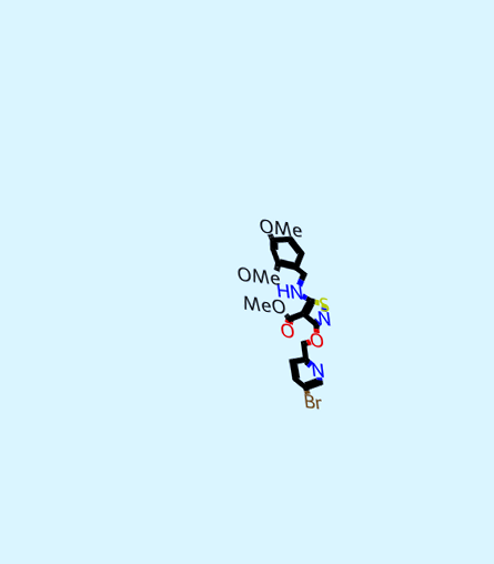 COC(=O)c1c(OCc2ccc(Br)cn2)nsc1NCc1ccc(OC)cc1OC